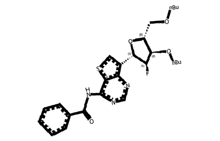 CCCCOC[C@H]1O[C@@H](c2csc3c(NC(=O)c4ccccc4)ncnc23)[C@H](F)[C@@H]1OCCCC